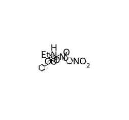 CC[C@H](NC(=O)CN1Cc2ccc([N+](=O)[O-])cc2C1=O)C(=O)OCc1ccccc1